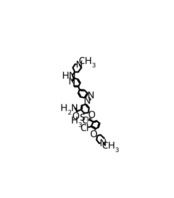 C[C@@H](OC1C=C(n2cnc3cc(-c4ccc(NC5CCN(C)CC5)nc4)ccc32)C=C(C(N)=O)C1=S)c1cccc(OC2CCN(C)CC2)c1Cl